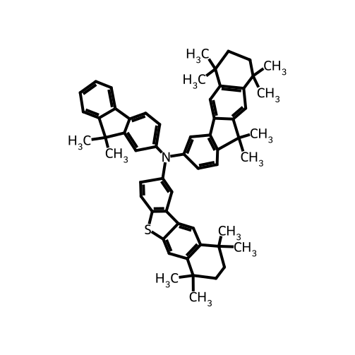 CC1(C)CCC(C)(C)c2cc3c(cc21)-c1cc(N(c2ccc4c(c2)C(C)(C)c2ccccc2-4)c2ccc4sc5cc6c(cc5c4c2)C(C)(C)CCC6(C)C)ccc1C3(C)C